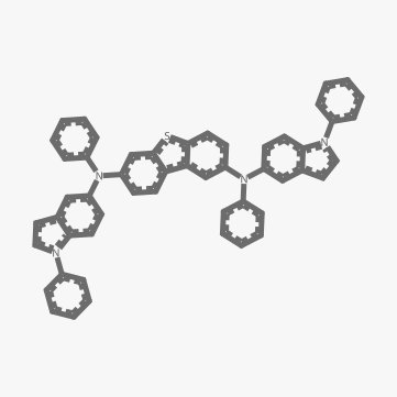 c1ccc(N(c2ccc3c(ccn3-c3ccccc3)c2)c2ccc3c(c2)sc2ccc(N(c4ccccc4)c4ccc5c(ccn5-c5ccccc5)c4)cc23)cc1